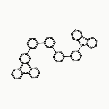 c1cc(-c2cccc(-c3cccc(-n4c5ccccc5c5ccccc54)c3)c2)cc(-c2cccc(-c3ccc4c5ccccc5c5ccccc5c4c3)c2)c1